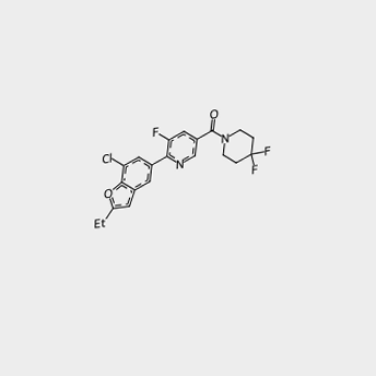 CCc1cc2cc(-c3ncc(C(=O)N4CCC(F)(F)CC4)cc3F)cc(Cl)c2o1